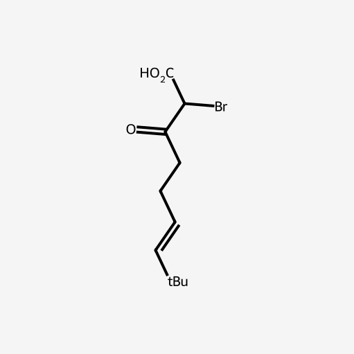 CC(C)(C)C=CCCC(=O)C(Br)C(=O)O